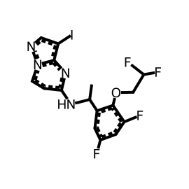 CC(Nc1ccn2ncc(I)c2n1)c1cc(F)cc(F)c1OCC(F)F